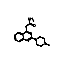 CN1CCN(c2nc(CC(N)=O)c3ccccc3n2)CC1